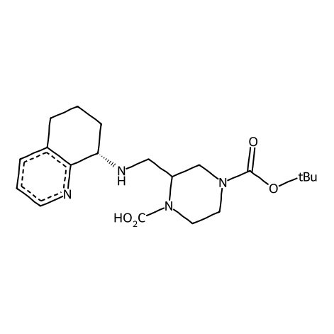 CC(C)(C)OC(=O)N1CCN(C(=O)O)C(CN[C@H]2CCCc3cccnc32)C1